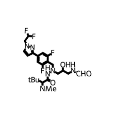 CNC(C(=O)NN(Cc1c(F)cc(-c2ccn(CC(F)F)n2)cc1F)CC(O)CNC=O)C(C)(C)C